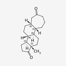 C[C@]12CC[C@H]3[C@@H](CC[C@@H]4CC(=O)CCC[C@@H]43)[C@@H]1CCC2=O